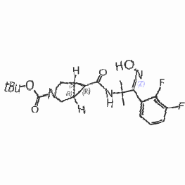 CC(C)(C)OC(=O)N1C[C@@H]2[C@H](C1)[C@H]2C(=O)NC(C)(C)/C(=N\O)c1cccc(F)c1F